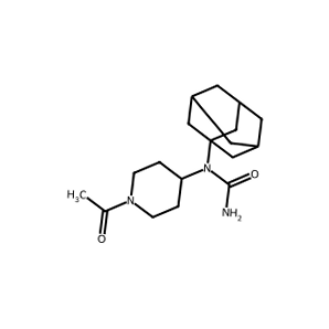 CC(=O)N1CCC(N(C(N)=O)C23CC4CC(CC(C4)C2)C3)CC1